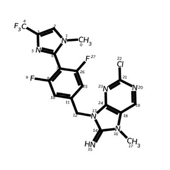 Cn1cc(C(F)(F)F)nc1-c1c(F)cc(Cn2c(=N)n(C)c3cnc(Cl)nc32)cc1F